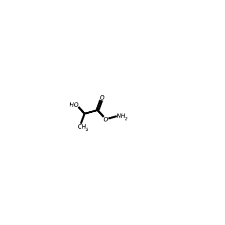 CC(O)C(=O)ON